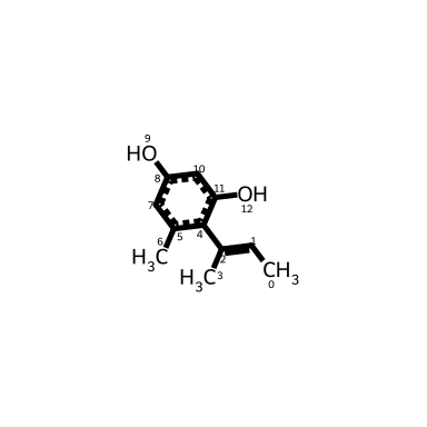 C/C=C(\C)c1c(C)cc(O)cc1O